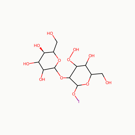 OCC1OC(OI)C(OC2OC(CO)[C@H](O)C(O)C2O)C(OO)C1O